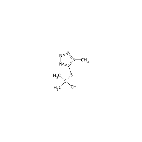 Cn1nnnc1S[Si](C)(C)C